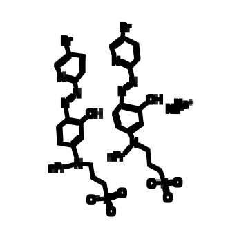 CCCN(CCCS(=O)(=O)[O-])c1ccc(N=Nc2ccc(Br)cn2)c(O)c1.CCCN(CCCS(=O)(=O)[O-])c1ccc(N=Nc2ccc(Br)cn2)c(O)c1.[Na+].[Na+]